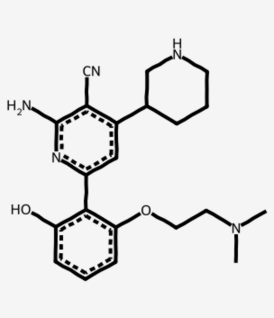 CN(C)CCOc1cccc(O)c1-c1cc(C2CCCNC2)c(C#N)c(N)n1